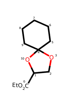 CCOC(=O)C1COC2(CCCCC2)O1